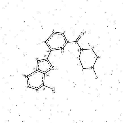 CN1CCN(C(=O)c2cccc(-c3cc4nccc(Cl)c4s3)n2)CC1